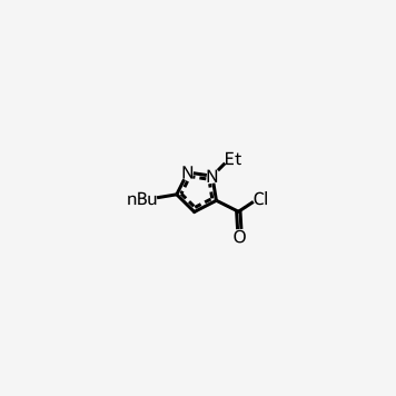 CCCCc1cc(C(=O)Cl)n(CC)n1